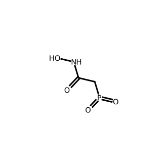 O=C(CP(=O)=O)NO